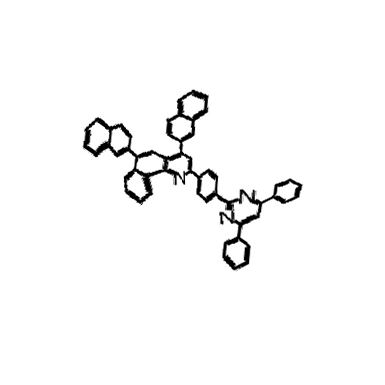 c1ccc(-c2cc(-c3ccccc3)nc(-c3ccc(-c4cc(-c5ccc6ccccc6c5)c5cc(-c6ccc7ccccc7c6)c6ccccc6c5n4)cc3)n2)cc1